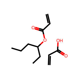 C=CC(=O)O.C=CC(=O)OC(CC)CCC